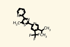 Cc1sc(-c2cc(C(F)(F)F)c(C(C)C)cn2)nc1-c1ccccn1